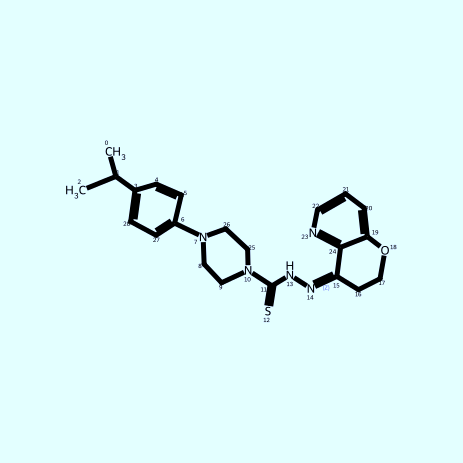 CC(C)c1ccc(N2CCN(C(=S)N/N=C3/CCOc4cccnc43)CC2)cc1